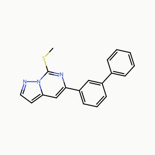 CSc1nc(-c2cccc(-c3ccccc3)c2)cc2ccnn12